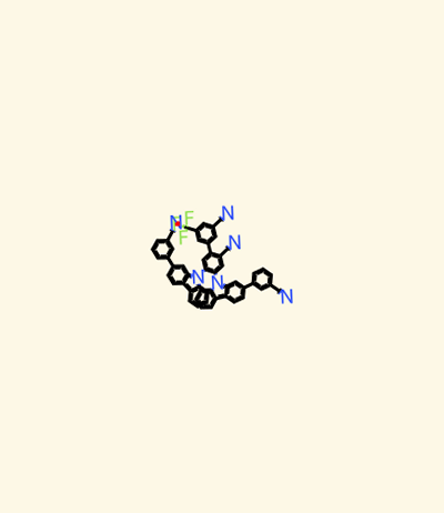 N#Cc1cccc(-c2ccc3c4ccccc4n(-c4cc(C#N)c(-c5cc(C#N)cc(C(F)(F)F)c5)cc4-n4c5ccccc5c5ccc(-c6cccc(C#N)c6)cc54)c3c2)c1